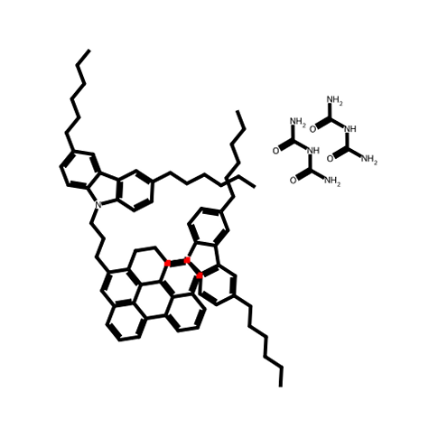 CCCCCCc1ccc2c(c1)c1cc(CCCCCC)ccc1n2CCCc1cc2cccc3c4cccc5cccc(c(c1CCCn1c6ccc(CCCCCC)cc6c6cc(CCCCCC)ccc61)c23)c54.NC(=O)NC(N)=O.NC(=O)NC(N)=O